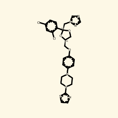 Clc1ccc([C@]2(Cn3cncn3)OC[C@@H](COc3ccc(N4CCN(c5nccs5)CC4)cc3)O2)c(Cl)c1